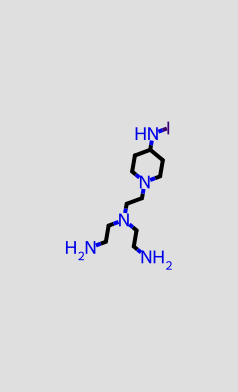 NCCN(CCN)CCN1CCC(NI)CC1